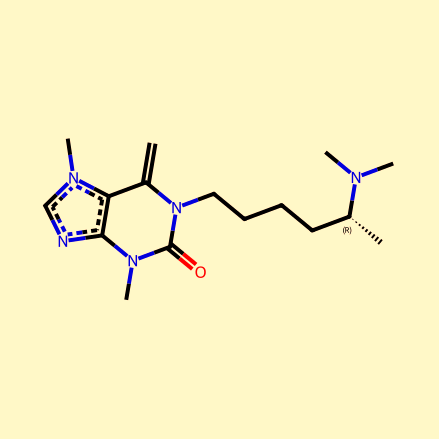 C=C1c2c(ncn2C)N(C)C(=O)N1CCCC[C@@H](C)N(C)C